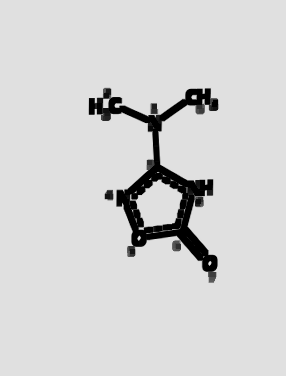 CN(C)c1noc(=O)[nH]1